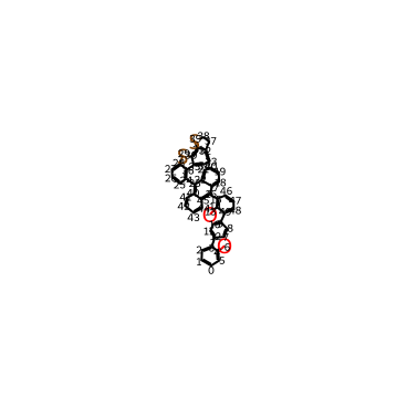 c1ccc2c(c1)oc1cc3c(cc12)oc1c(-c2c4ccccc4c(-c4cccc5sc6c7c(ccc6c45)CCS7)c4ccccc24)cccc13